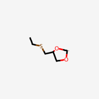 CCSCC1CO[CH]O1